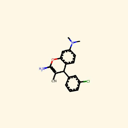 CN(C)c1ccc2c(c1)OC(N)=C(C#N)C2c1cccc(Cl)c1